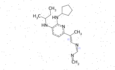 C=N/C=N\C=C(/C)c1ccc(NC(C)CC)c(NC2CCCC2)n1